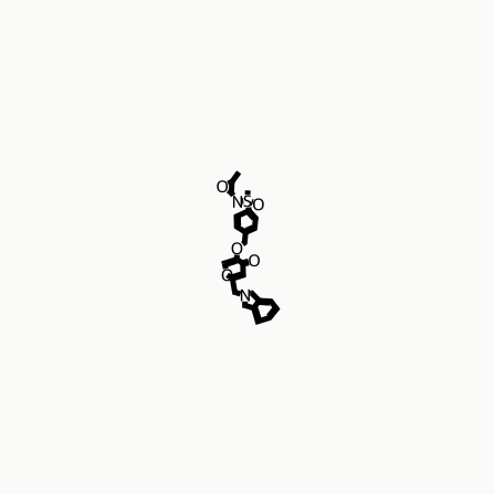 CC1OC1N=S(C)(=O)c1ccc(COc2coc(CN3Cc4ccccc4C3)cc2=O)cc1